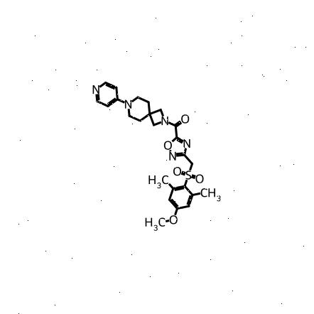 COc1cc(C)c(S(=O)(=O)Cc2noc(C(=O)N3CC4(CCN(c5ccncc5)CC4)C3)n2)c(C)c1